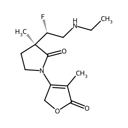 CCNC[C@@H](F)[C@]1(C)CCN(C2=C(C)C(=O)OC2)C1=O